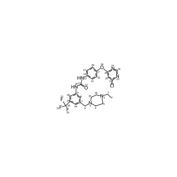 CCN1CCN(Cc2cc(NC(=O)Nc3ccc(Oc4cc(Cl)ncn4)cc3)cc(C(F)(F)F)c2)CC1